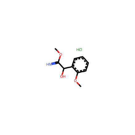 COC(=N)C(O)c1ccccc1OC.Cl